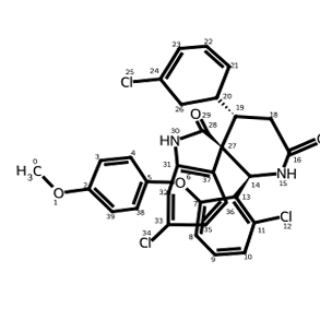 COc1ccc(Oc2cccc(Cl)c2[C@@H]2NC(=O)C[C@@H](C3C=CC=C(Cl)C3)[C@]23C(=O)Nc2cc(Cl)ccc23)cc1